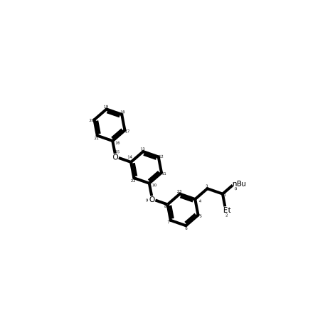 CCCCC(CC)Cc1cccc(Oc2cccc(Oc3ccccc3)c2)c1